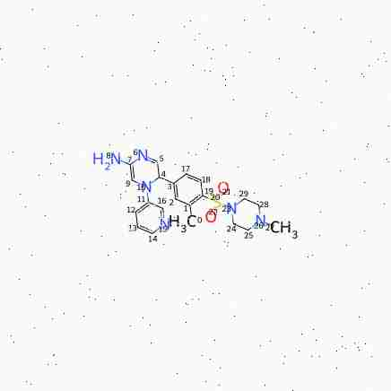 Cc1cc(C2C=NC(N)=CN2c2cccnc2)ccc1S(=O)(=O)N1CCN(C)CC1